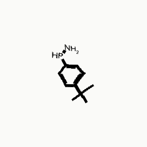 CC(C)(C)c1ccc(PN)cc1